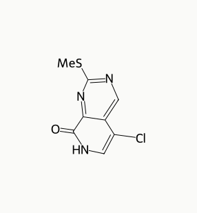 CSc1ncc2c(Cl)c[nH]c(=O)c2n1